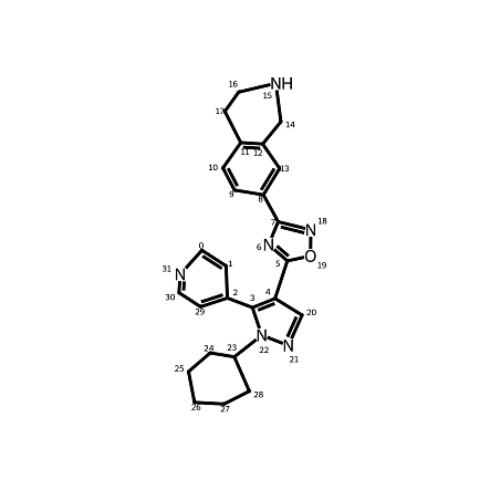 c1cc(-c2c(-c3nc(-c4ccc5c(c4)CNCC5)no3)cnn2C2CCCCC2)ccn1